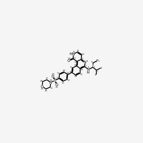 CC(C)[C@H](CF)Nc1nc2cc[nH]c(=O)c2c2cc(-c3ccc(S(=O)(=O)N4CCOCC4)cc3)ccc12